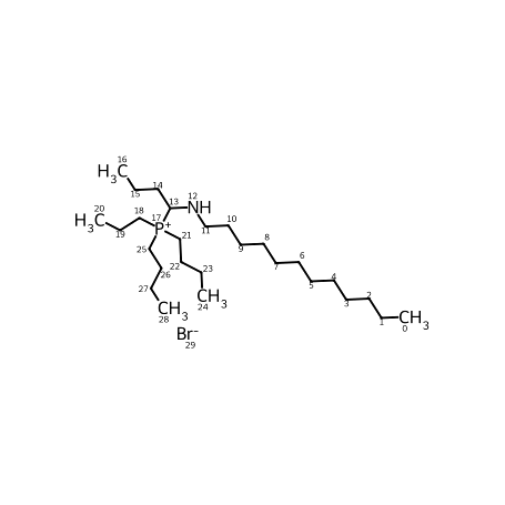 CCCCCCCCCCCCNC(CCC)[P+](CCC)(CCCC)CCCC.[Br-]